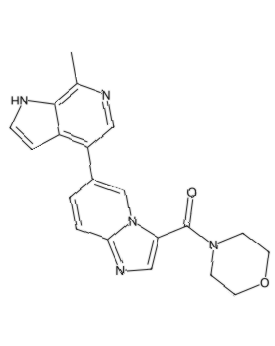 Cc1ncc(-c2ccc3ncc(C(=O)N4CCOCC4)n3c2)c2cc[nH]c12